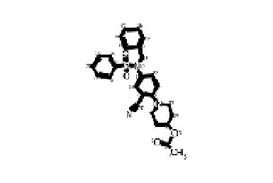 CC(=O)OC1CCN(c2ccc(N(Cc3ccccc3)S(=O)(=O)c3ccccc3)cc2C#N)CC1